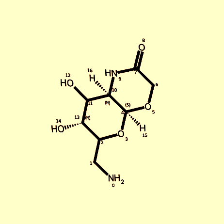 NCC1O[C@@H]2OCC(=O)N[C@@H]2C(O)[C@H]1O